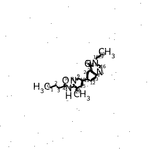 CCCCC(=O)Nc1ncc(-c2ccc3ncn(CCC)c(=O)c3c2)cc1C